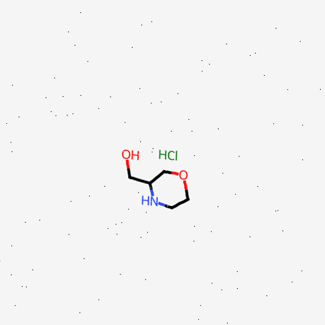 Cl.OCC1COCCN1